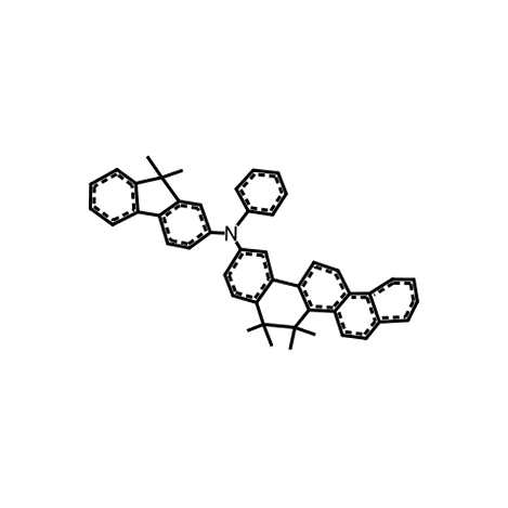 CC1(C)c2ccccc2-c2ccc(N(c3ccccc3)c3ccc4c(c3)-c3ccc5c(ccc6ccccc65)c3C(C)(C)C4(C)C)cc21